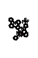 Cc1ccc2c3ccc(C(F)(F)F)cc3n(-c3ccc(-c4cccc5c6ccccc6n(-c6ccccc6)c45)cc3-c3nc(-c4ccccc4)nc(-c4ccccc4)n3)c2c1